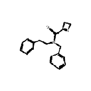 O=C(C1=NCC1)N(CCc1ccccc1)Cc1ccccc1